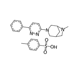 CN1CC2CC1CN(c1ccc(-c3ccccc3)nn1)C2.Cc1ccc(S(=O)(=O)O)cc1